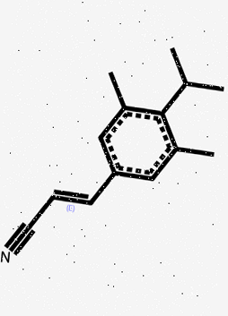 Cc1cc(/C=C/C#N)cc(C)c1C(C)C